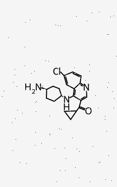 N[C@H]1CC[C@H](Nc2c(C(=O)C3CC3)cnc3ccc(Cl)cc23)CC1